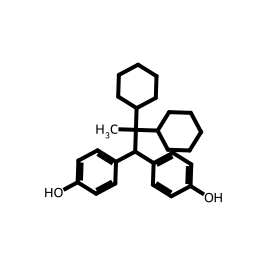 CC(C1CCCCC1)(C1CCCCC1)C(c1ccc(O)cc1)c1ccc(O)cc1